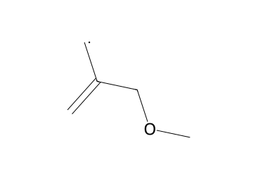 [CH2]C(=C)COC